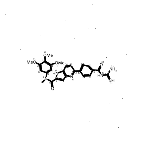 COc1cc(N(C)C(=O)c2cc3nc(-c4ccc(C(=O)NC(=N)N)cc4)ccc3[nH]2)cc(OC)c1OC